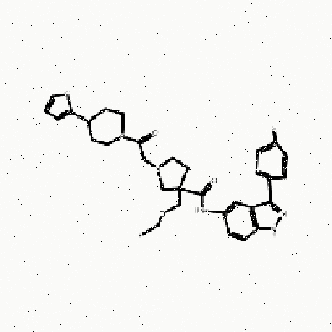 O=C(CN1CCC(COCF)(C(=O)Nc2ccc3[nH]nc(-c4ccc(F)cc4)c3c2)C1)N1CCC(c2cccs2)CC1